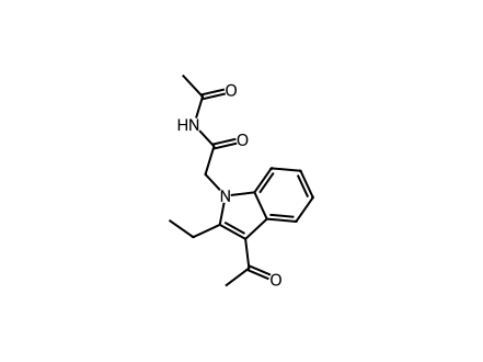 CCc1c(C(C)=O)c2ccccc2n1CC(=O)NC(C)=O